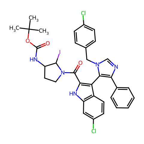 CC(C)(C)OC(=O)NC1CCN(C(=O)c2[nH]c3cc(Cl)ccc3c2-c2c(-c3ccccc3)ncn2Cc2ccc(Cl)cc2)C1I